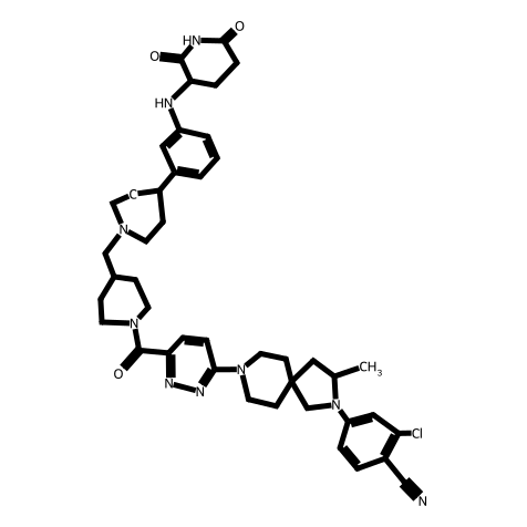 CC1CC2(CCN(c3ccc(C(=O)N4CCC(CN5CCC(c6cccc(NC7CCC(=O)NC7=O)c6)CC5)CC4)nn3)CC2)CN1c1ccc(C#N)c(Cl)c1